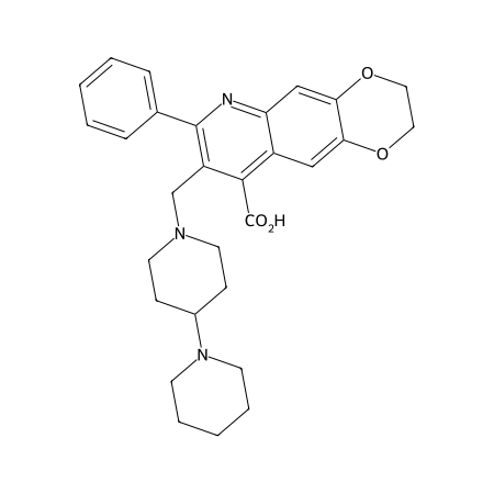 O=C(O)c1c(CN2CCC(N3CCCCC3)CC2)c(-c2ccccc2)nc2cc3c(cc12)OCCO3